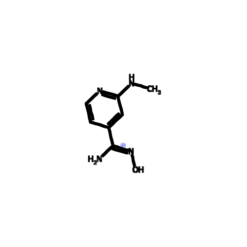 CNc1cc(/C(N)=N/O)ccn1